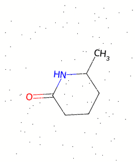 CC1CCCC(=O)N1